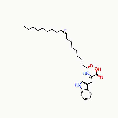 CCCCCCCC/C=C\CCCCCCCC(=O)N[C@@H](Cc1c[nH]c2ccccc12)C(=O)O